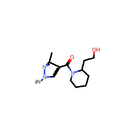 Cc1nn(C(C)C)cc1C(=O)N1CCCCC1CCO